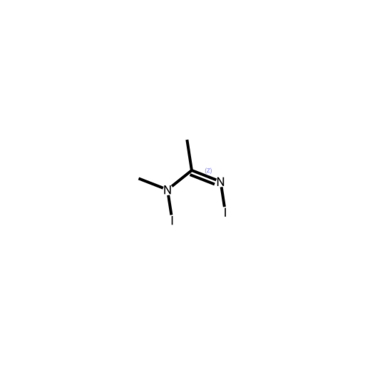 C/C(=N/I)N(C)I